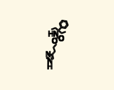 CCC(CC)(NC(=O)OCCCc1c[nH]cn1)c1ccccc1